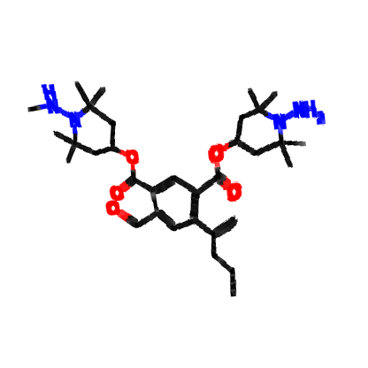 C=C(CCC)c1cc(C=O)c(C(=O)OC2CC(C)(C)N(NC)C(C)(C)C2)cc1C(=O)OC1CC(C)(C)N(N)C(C)(C)C1